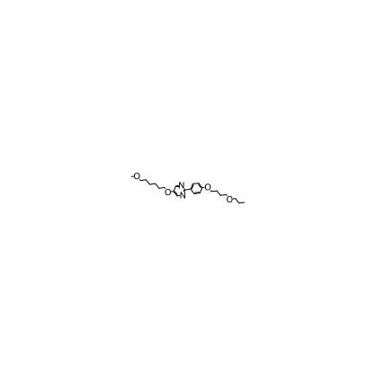 CCCOCCCCOc1ccc(-c2ncc(OCCCCCCOC)cn2)cc1